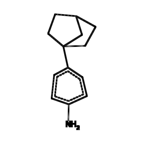 Nc1ccc(C23CCC(CC2)C3)cc1